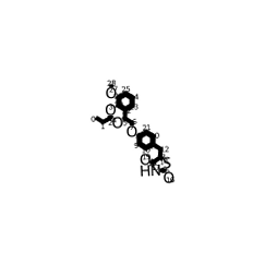 CCC(=O)OC(COc1ccc(CC2SC(=O)NC2=O)cc1)c1cccc(OC)c1